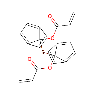 C=CC(=O)OC1(SC2(OC(=O)C=C)C3=CC=C2C=C3)C2=CC=C1C=C2